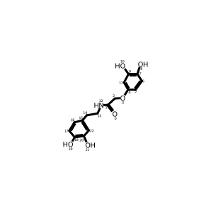 O=C(COc1ccc(O)c(O)c1)NCCc1ccc(O)c(O)c1